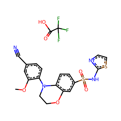 COc1cc(C#N)ccc1N1CCOc2cc(S(=O)(=O)Nc3nccs3)ccc21.O=C(O)C(F)(F)F